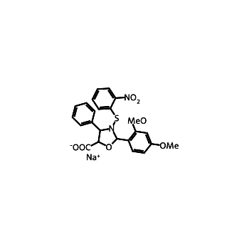 COc1ccc(C2OC(C(=O)[O-])C(c3ccccc3)N2Sc2ccccc2[N+](=O)[O-])c(OC)c1.[Na+]